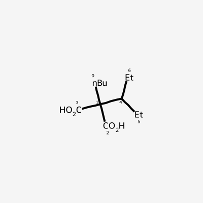 CCCCC(C(=O)O)(C(=O)O)C(CC)CC